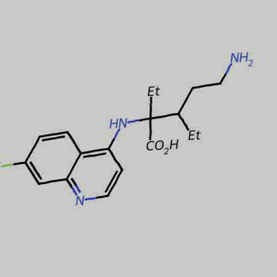 CCC(CCN)C(CC)(Nc1ccnc2cc(F)ccc12)C(=O)O